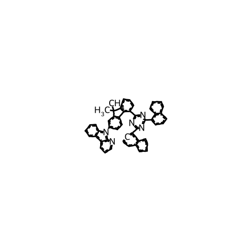 CC1(C)c2cc(-n3c4ccccc4c4cccnc43)ccc2-c2c(-c3nc(-c4cccc5ccccc45)nc(-c4cccc5ccccc45)n3)cccc21